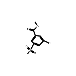 COC(=O)c1cc(Cl)cc(S(C)(=O)=O)c1